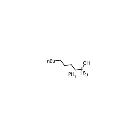 CCCCCCCC[PH](=O)O.P